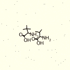 CC(C)(C)C(N)C(=O)O.CC(C)C(N)C(=O)O